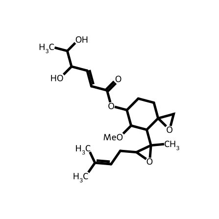 COC1C(OC(=O)C=CC(O)C(C)O)CCC2(CO2)C1C1(C)OC1CC=C(C)C